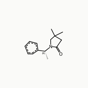 C[C@H](c1ccccc1)N1CC(C)(C)CC1=O